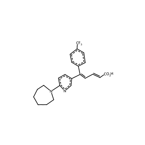 O=C(O)C=CC=C(c1ccc(C(F)(F)F)cc1)c1ccc(N2CCCCCC2)nc1